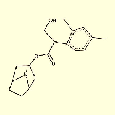 Cc1ccc(C(CO)C(=O)OC2CC3CCC(C2)N3C)c(C)c1